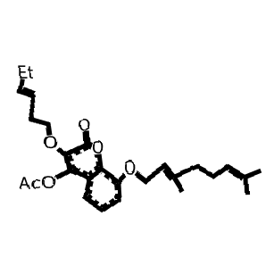 CCC=CCCOc1c(OC(C)=O)c2cccc(OC/C=C(\C)CCC=C(C)C)c2oc1=O